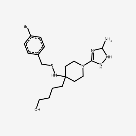 NC1N=C(N2CCC(CCCCO)(NSCc3ccc(Br)cc3)CC2)NN1